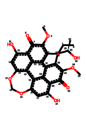 CCCc1c(OC)c(=O)c2c(O)cc3c4c5c(cc(O)c6c(=O)c(OC)c(C[C@H](C)O)c(c1c24)c65)OCO3